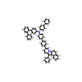 c1ccc(-c2ccc(N(c3ccc(-c4ccc(-c5ccc6c(-c7ccccc7)c7c8ccccc8ccc7n6c5)cc4)cc3)c3ccc(-c4ccccc4-c4ccccc4)cc3)cc2)cc1